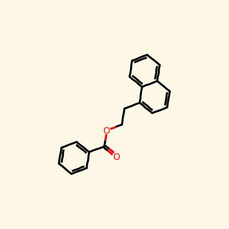 O=C(OCCc1cccc2ccccc12)c1ccccc1